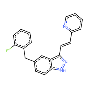 Fc1ccccc1Cc1ccc2[nH]nc(/C=C/c3ccccn3)c2c1